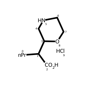 CCCC(C(=O)O)C1CNCCO1.Cl